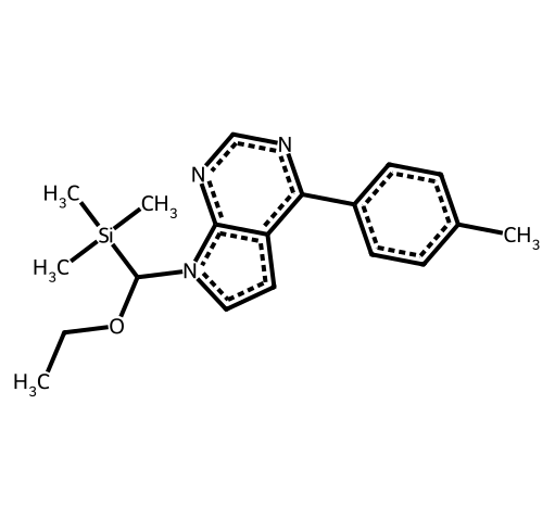 CCOC(n1ccc2c(-c3ccc(C)cc3)ncnc21)[Si](C)(C)C